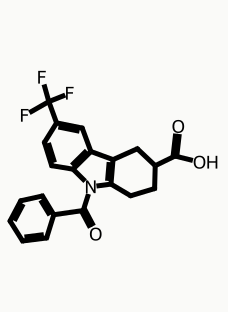 O=C(O)C1CCc2c(c3cc(C(F)(F)F)ccc3n2C(=O)c2ccccc2)C1